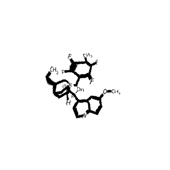 C=CC1C[N+]2(Cc3c(F)c(F)c(C)c(F)c3F)CCC1C[C@H]2[C@H](O)c1ccnc2ccc(OC)cc12